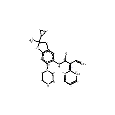 CC1(C2CC2)Cc2cc(NC(=O)/C(C=N)=C3\N=CC=CN3)c(N3CCOCC3)cc2O1